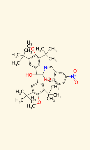 CCC(N=Cc1cc([N+](=O)[O-])ccc1O)C(O)(c1cc(C(C)(C)C)c(OC)c(C(C)(C)C)c1)c1cc(C(C)(C)C)c(OC)c(C(C)(C)C)c1